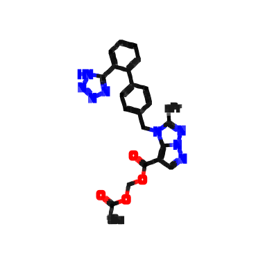 CCCc1nn2ncc(C(=O)OCOC(=O)C(C)(C)C)c2n1Cc1ccc(-c2ccccc2-c2nnn[nH]2)cc1